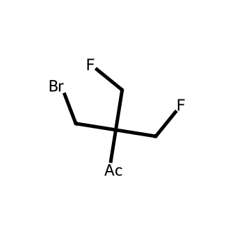 CC(=O)C(CF)(CF)CBr